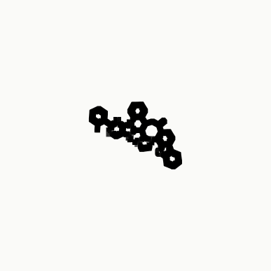 C=C1CC2c3ccccc3N3c4nc(-c5ccccc5C)ncc4N(C)C3C2C2N(C)C=CN2c2c1ccc1c2oc2ccccc21